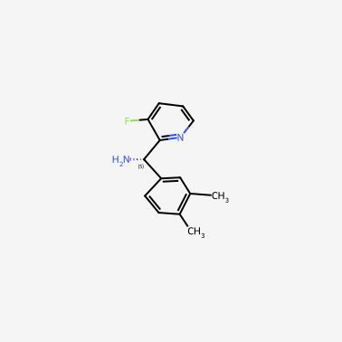 Cc1ccc([C@H](N)c2ncccc2F)cc1C